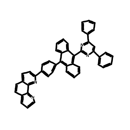 c1ccc(-c2cc(-c3ccccc3)nc(-c3c4ccccc4c(-c4ccc(-c5ccc6ccc7cccnc7c6n5)cc4)c4ccccc34)n2)cc1